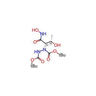 C[C@H](O)[C@@H](C(=O)NO)N(NC(=O)OC(C)(C)C)C(=O)OC(C)(C)C